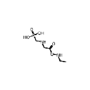 CCNOC(=O)CNCP(=O)(O)O